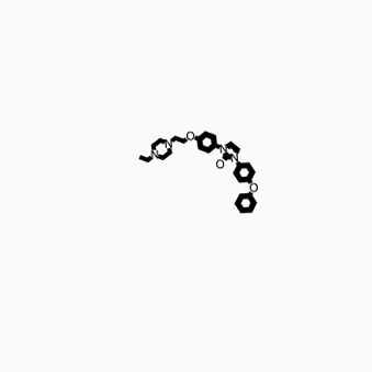 CCN1CCN(CCOc2ccc(-n3ccn(-c4ccc(Oc5ccccc5)cc4)c3=O)cc2)CC1